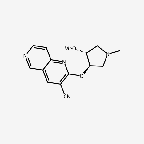 CO[C@@H]1CN(C)C[C@H]1Oc1nc2ccncc2cc1C#N